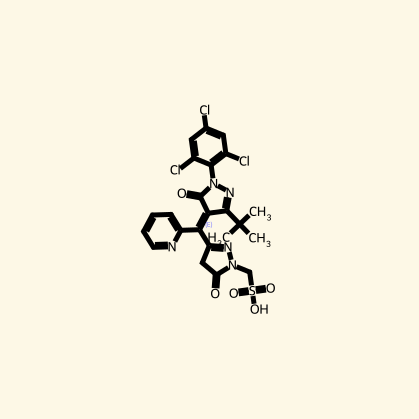 CC(C)(C)C1=NN(c2c(Cl)cc(Cl)cc2Cl)C(=O)/C1=C(/C1=NN(CS(=O)(=O)O)C(=O)C1)c1ccccn1